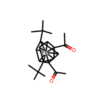 CC(=O)[C]12[CH]3[CH]4[C]5(C(C)(C)C)[CH]1[Fe]34251678[CH]2[CH]1[C]6(C(C)(C)C)[CH]7[C]28C(C)=O